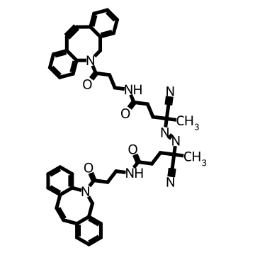 CC(C#N)(CCC(=O)NCCC(=O)N1Cc2ccccc2C#Cc2ccccc21)/N=N/C(C)(C#N)CCC(=O)NCCC(=O)N1Cc2ccccc2/C=C\c2ccccc21